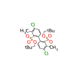 Cc1c(Cl)ccc(-c2ccc(Cl)c(C)c2S(=O)(=O)OCC(C)(C)C)c1S(=O)(=O)OCC(C)(C)C